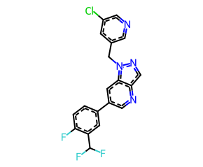 Fc1ccc(-c2cnc3cnn(Cc4cncc(Cl)c4)c3c2)cc1C(F)F